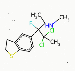 CNC(C)C(F)(c1ccc2c(c1)CCS2)C(C)(Cl)Cl